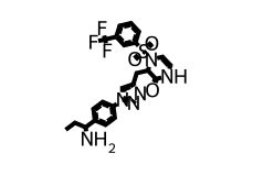 CCC(N)c1ccc(-n2cc(CC3C(=O)NC=CN3S(=O)(=O)c3cccc(C(F)(F)F)c3)nn2)cc1